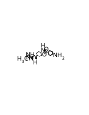 CN(N)N=CN[C@H]1CC[C@H](NS(=O)(=O)c2ccc(N)cc2)CC1